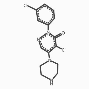 O=c1c(Cl)c(N2CCNCC2)cnn1-c1cccc(Cl)c1